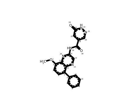 COc1ccc(-c2ccccc2)c2ncc(NC(=O)c3cn[nH]c(=O)c3)nc12